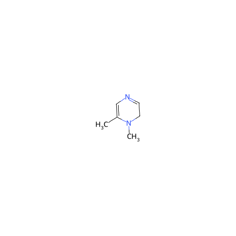 CC1=CN=CCN1C